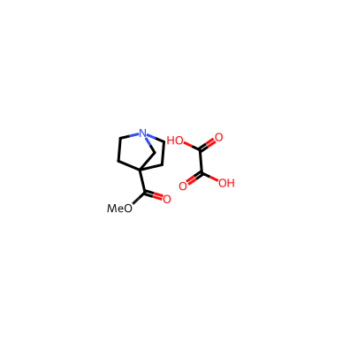 COC(=O)C12CCN(CC1)C2.O=C(O)C(=O)O